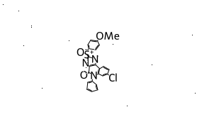 COc1ccc([S+]([O-])c2nc3c(=O)n(-c4ccccc4)c4cc(Cl)ccc4c3n2C)cc1